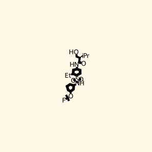 CCc1cc(NC(=O)[C@@H](CO)C(C)C)ccc1S(=O)(=O)Nc1cccc(OC(C)(C)F)c1